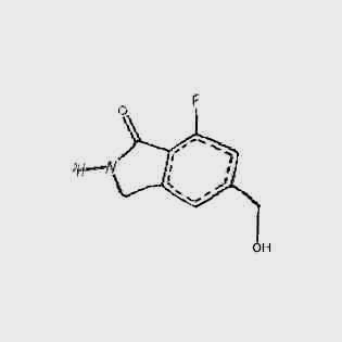 [2H]N1Cc2cc(CO)cc(F)c2C1=O